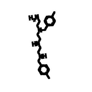 Cc1ccc(CNCCNCCN(CCN)Cc2ccc(C)cc2)cc1